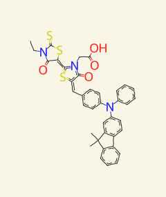 CCN1C(=O)/C(=c2\s/c(=C/c3ccc(N(c4ccccc4)c4ccc5c(c4)C(C)(C)c4ccccc4-5)cc3)c(=O)n2CC(=O)O)SC1=S